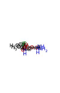 CCC(C)(C)c1ccc(S(=O)(=O)N[C@@H](Cc2ccc(OCCCONC(=N)N)cc2)C(=O)OC(=O)C(F)(F)F)cc1